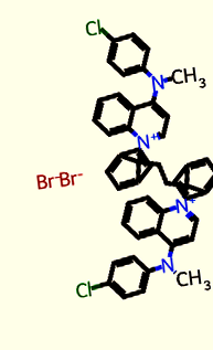 CN(c1ccc(Cl)cc1)c1cc[n+](C2(CCC3([n+]4ccc(N(C)c5ccc(Cl)cc5)c5ccccc54)C4=CC=C3C=C4)C3=CC=C2C=C3)c2ccccc12.[Br-].[Br-]